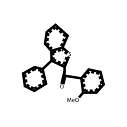 COc1ccccc1C(=O)c1sc2ccccc2c1-c1ccccc1